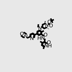 CCN(c1cc(-c2ccc(CN3CCOCC3)nc2)cc(C(=O)NCc2c(C)cc(C)[nH]c2=O)c1C)C1C[C@@H](C)N(C(=O)OC(C)(C)C)[C@H](C)C1